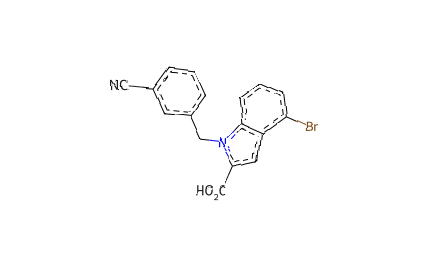 N#Cc1cccc(Cn2c(C(=O)O)cc3c(Br)cccc32)c1